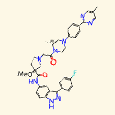 CO[C@@]1(C(=O)Nc2ccc3[nH]nc(-c4ccc(F)cc4)c3c2)CCN(CC(=O)N2CCN(c3ccc(-c4ncc(C)cn4)cc3)C[C@H]2C)C1